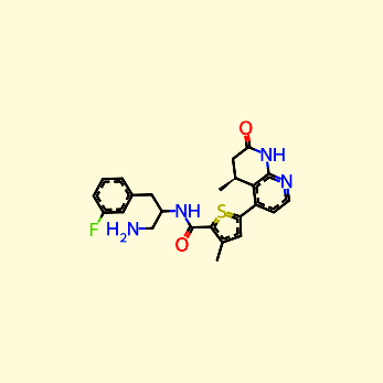 Cc1cc(-c2ccnc3c2[C@@H](C)CC(=O)N3)sc1C(=O)NC(CN)Cc1cccc(F)c1